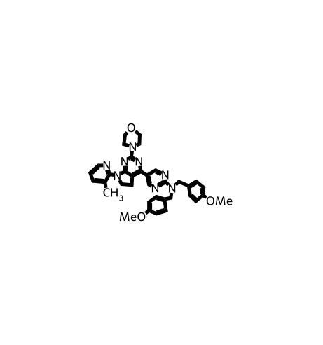 COc1ccc(CN(Cc2ccc(OC)cc2)c2ncc(-c3nc(N4CCOCC4)nc4c3CCN4c3ncccc3C)cn2)cc1